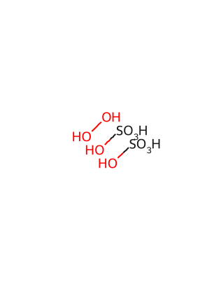 O=S(=O)(O)O.O=S(=O)(O)O.OO